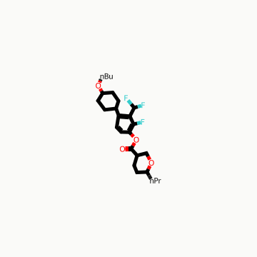 CCCCOC1CCC(c2ccc(OC(=O)C3CCC(CCC)OC3)c(F)c2C(F)F)CC1